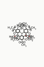 CC1(C)Oc2c(c(S(C)(=O)=O)c3c(c2[C](c2c4c(c(S(C)(=O)=O)c5c2OC(C)(C)O5)OC(C)(C)O4)c2c4c(c(S(C)(=O)=O)c5c2OC(C)(C)O5)OC(C)(C)O4)OC(C)(C)O3)O1